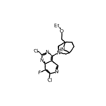 CCOCC12CCC(CN(c3nc(Cl)nc4c(F)c(Cl)ncc34)C1)N2